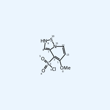 COC1=C(S(=O)(=O)Cl)C2=CNSN2C=C1